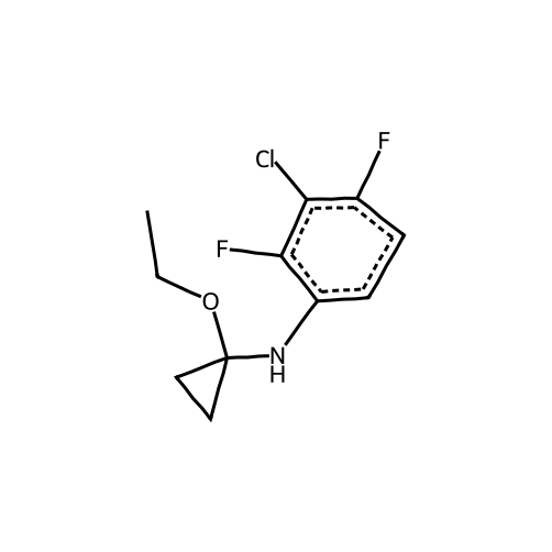 CCOC1(Nc2ccc(F)c(Cl)c2F)CC1